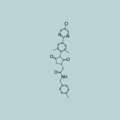 Cc1ccc(CNC(=O)CC2CC(=O)C(c3c(C)cc(-c4ncc(Cl)cn4)cc3C)C2=O)cc1